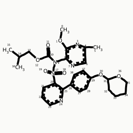 COc1nc(C)cnc1N(C(=O)OCC(C)C)S(=O)(=O)c1cccnc1-c1ccc(OC2CCCCO2)cc1